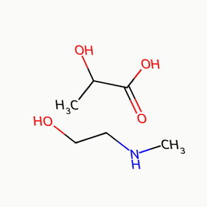 CC(O)C(=O)O.CNCCO